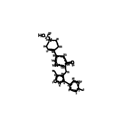 Cc1ccc(-c2noc(C)c2Cn2ncc(C3=CCN(C(=O)O)CC3)cc2=O)cn1